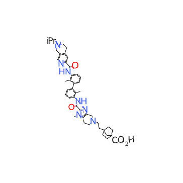 Cc1c(NC(=O)c2cc3c(cn2)CN(C(C)C)CC3)cccc1-c1cccc(NC(=O)c2nc3c(n2C)CCN(CCC24CCC(C(=O)O)(CC2)C4)C3)c1C